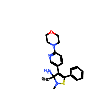 CN1SC(c2ccccc2)=C(c2ccc(N3CCOCC3)nc2)C1(N)C=O